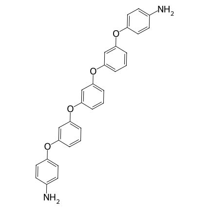 Nc1ccc(Oc2cccc(Oc3cccc(Oc4cccc(Oc5ccc(N)cc5)c4)c3)c2)cc1